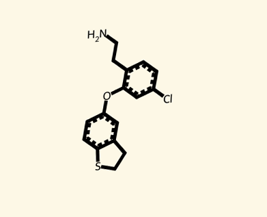 NCCc1ccc(Cl)cc1Oc1ccc2c(c1)CCS2